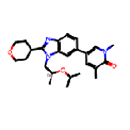 Cc1cc(-c2ccc3nc(C4CCOCC4)n(C[C@H](C)OC(C)C)c3c2)cn(C)c1=O